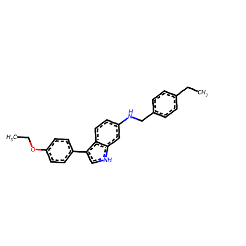 CCOc1ccc(-c2c[nH]c3cc(NCc4ccc(CC)cc4)ccc23)cc1